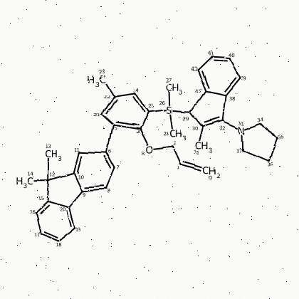 C=CCOc1c(-c2ccc3c(c2)C(C)(C)c2ccccc2-3)cc(C)cc1[Si](C)(C)C1C(C)=C(N2CCCC2)c2ccccc21